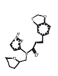 O=C(C=Cc1ccc2c(c1)OCO2)N(CC1CCCO1)c1cc[nH]n1